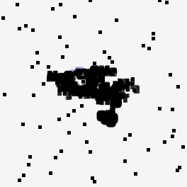 COc1cc2cc(c1Cl)N(C)C(=O)C[C@H](OC(=O)Nc1cc(F)c(NC(=O)[C@H](CCCNCN)NC(=O)[C@@H](NC(=O)CCCCC(=O)ON3C(=O)CCC3=O)C(C)C)cc1F)[C@]1(C)O[C@H]1[C@H](C)[C@@H]1C[C@@](O)(NC(=O)O1)[C@H](OC)/C=C/C=C(\C)C2